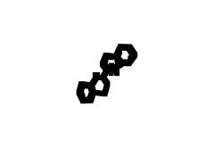 [C]1c2ccccc2CCC1c1ccc2ccccc2n1